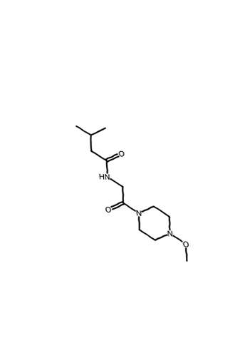 CON1CCN(C(=O)CNC(=O)CC(C)C)CC1